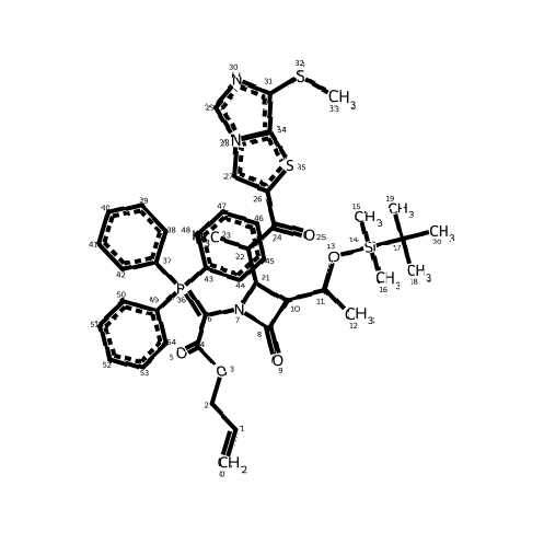 C=CCOC(=O)C(N1C(=O)C(C(C)O[Si](C)(C)C(C)(C)C)C1C(C)C(=O)c1cn2cnc(SC)c2s1)=P(c1ccccc1)(c1ccccc1)c1ccccc1